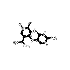 CC(C)c1c[n+]([O-])c(Br)cc1Oc1cnc(N)nc1N